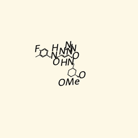 COC(=O)[C@H]1CCCC(CNC(=O)c2cc(C(=O)NCc3ccc(F)c(C)c3)nc3ncnn23)C1